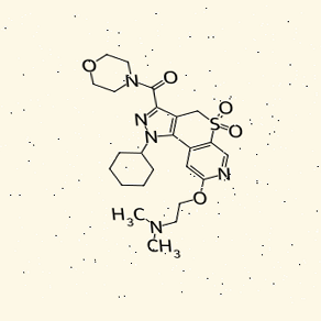 CN(C)CCOc1cc2c(cn1)S(=O)(=O)Cc1c(C(=O)N3CCOCC3)nn(C3CCCCC3)c1-2